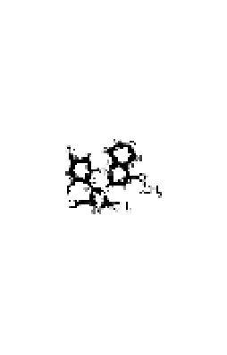 COc1cc(-n2c(C)nc(Cl)c2-c2c(F)cc(F)cc2F)nc2ccccc12